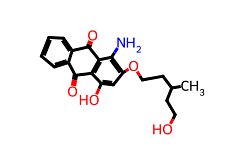 CC(CCO)CCOc1cc(O)c2c(c1N)C(=O)c1ccccc1C2=O